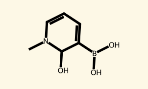 CN1C=CC=C(B(O)O)C1O